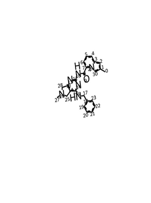 Cc1cc2cccc(C(=O)Nc3nc4c(c(NCc5ccccc5)n3)CN(C)C4)n2c1